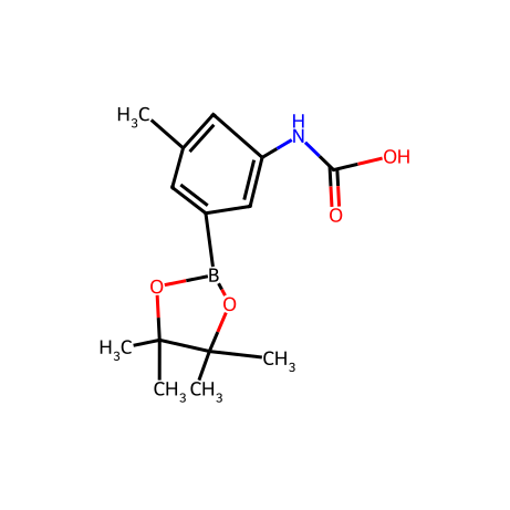 Cc1cc(NC(=O)O)cc(B2OC(C)(C)C(C)(C)O2)c1